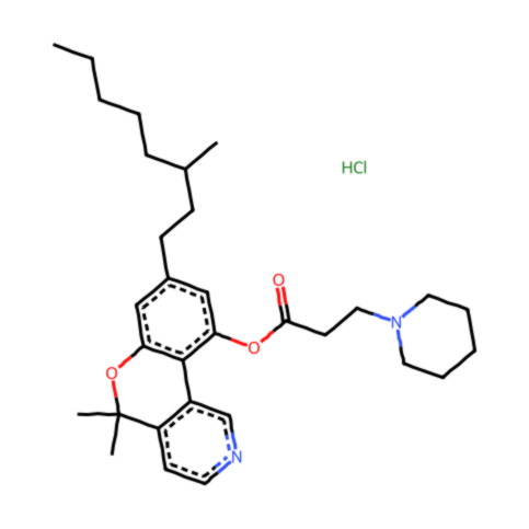 CCCCCC(C)CCc1cc(OC(=O)CCN2CCCCC2)c2c(c1)OC(C)(C)c1ccncc1-2.Cl